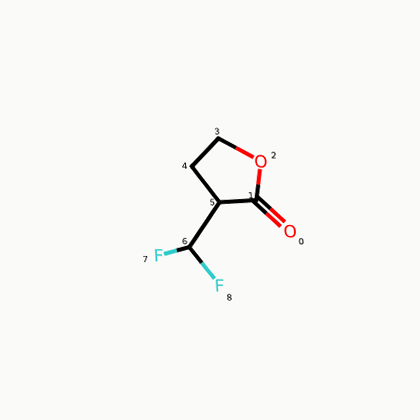 O=C1OCCC1C(F)F